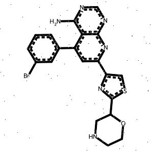 Nc1ncnc2nc(-c3csc(C4CNCCO4)n3)cc(-c3cccc(Br)c3)c12